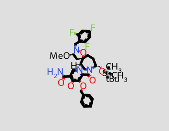 CO[C@@H]1C[C@]2(CC[C@H](CO[Si](C)(C)C(C)(C)C)N3C[C@H]2n2cc(C(N)=O)c(=O)c(OCc4ccccc4)c2C3=O)ON1Cc1c(F)cc(F)cc1F